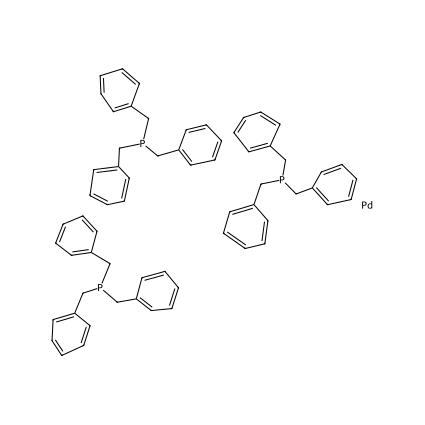 [Pd].c1ccc(CP(Cc2ccccc2)Cc2ccccc2)cc1.c1ccc(CP(Cc2ccccc2)Cc2ccccc2)cc1.c1ccc(CP(Cc2ccccc2)Cc2ccccc2)cc1